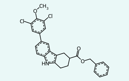 COc1c(Cl)cc(-c2ccc3[nH]c4c(c3c2)CC(C(=O)OCc2ccccc2)CC4)cc1Cl